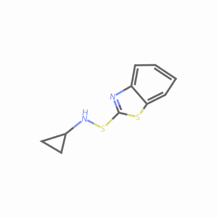 c1ccc2sc(SNC3CC3)nc2c1